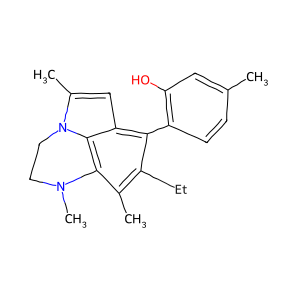 CCc1c(C)c2c3c(cc(C)n3CCN2C)c1-c1ccc(C)cc1O